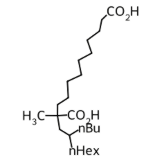 CCCCCCC(CCCC)CC(C)(CCCCCCCCCC(=O)O)C(=O)O